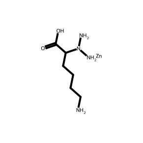 NCCCCC(C(=O)O)N(N)N.[Zn]